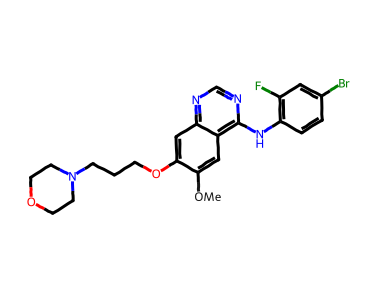 COc1cc2c(Nc3ccc(Br)cc3F)ncnc2cc1OCCCN1CCOCC1